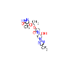 CC(COC1CCN([C@@H]2CCN(c3ncc(C(F)(F)F)cn3)C[C@H]2O)C1=O)Oc1cn[nH]c(=O)c1C(F)(F)F